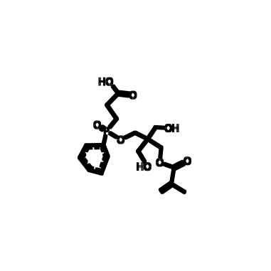 C=C(C)C(=O)OCC(CO)(CO)COP(=O)(CCC(=O)O)c1ccccc1